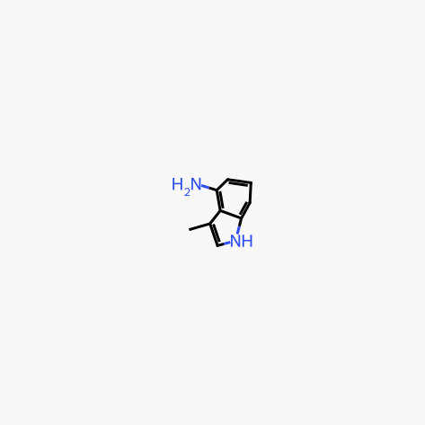 Cc1c[nH]c2cccc(N)c12